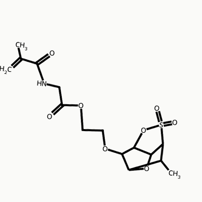 C=C(C)C(=O)NCC(=O)OCCOC1C2OC3C1OS(=O)(=O)C3C2C